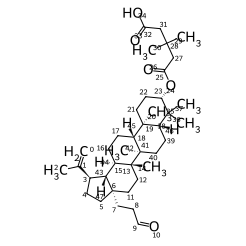 C=C(C)[C@@H]1CC[C@]2(CCC=O)CC[C@]3(C)[C@H](CC[C@@H]4[C@@]5(C)CC[C@H](OC(=O)CC(C)(C)CC(=O)O)C(C)(C)[C@@H]5CC[C@]43C)[C@@H]12